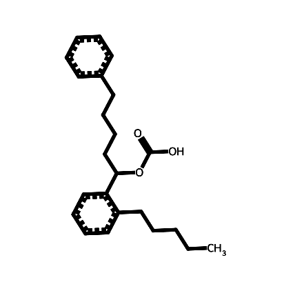 CCCCCc1ccccc1C(CCCCc1ccccc1)OC(=O)O